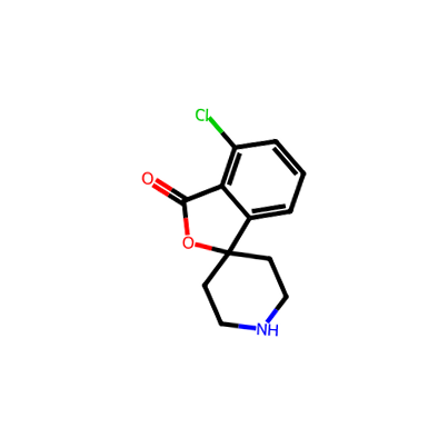 O=C1OC2(CCNCC2)c2cccc(Cl)c21